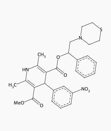 COC(=O)C1=C(C)NC(C)=C(C(=O)OC(CN2CCSCC2)c2ccccc2)C1c1cccc([N+](=O)[O-])c1